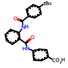 CC(C)(C)c1ccc(C(=O)Nc2ccccc2C(=O)Nc2ccc(C(=O)O)cc2)cc1